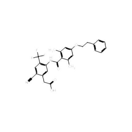 Cc1cc(OCCc2ccccc2)cc(C)c1C(=O)Nc1cc(CC(=O)O)c(C#N)cc1C(F)(F)F